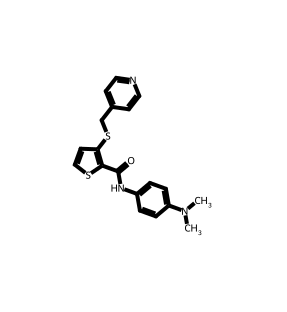 CN(C)c1ccc(NC(=O)c2sccc2SCc2ccncc2)cc1